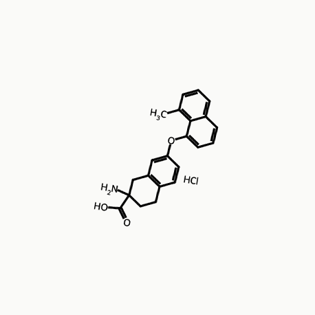 Cc1cccc2cccc(Oc3ccc4c(c3)CC(N)(C(=O)O)CC4)c12.Cl